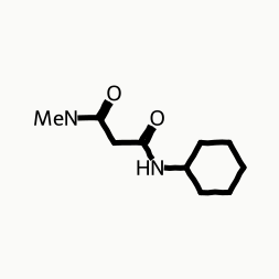 CNC(=O)CC(=O)NC1CCCCC1